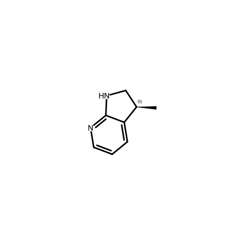 C[C@@H]1CNc2ncccc21